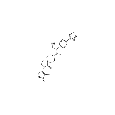 CC1=C(N2CC[C@]3(CC[C@H](N(C)C(CO)c4ccc(-n5cnnn5)nc4)CC3)C2=O)COC1=O